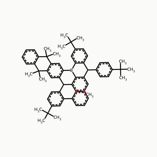 Cc1cc2c3c(c1)C(c1ccc(C(C)(C)C)cc1-c1ccccc1)c1cc4c(cc1B3c1cc(C(C)(C)C)ccc1C2c1ccc(C(C)(C)C)cc1)C(C)(C)c1ccccc1C4(C)C